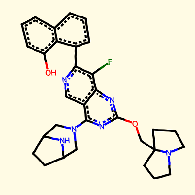 Oc1cccc2cccc(-c3ncc4c(N5CC6CCC(C5)N6)nc(OCC56CCCN5CCC6)nc4c3F)c12